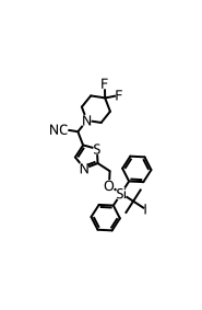 CC(C)(I)[Si](OCc1ncc(C(C#N)N2CCC(F)(F)CC2)s1)(c1ccccc1)c1ccccc1